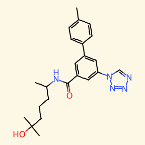 Cc1ccc(-c2cc(C(=O)NC(C)CCCC(C)(C)O)cc(-n3cnnn3)c2)cc1